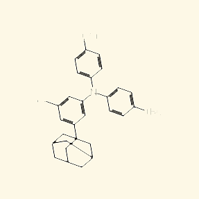 CC(C)(C)c1ccc(N(c2ccc(C(C)(C)C)cc2)c2cc(Cl)cc(C34CC5CC(CC(C5)C3)C4)c2)cc1